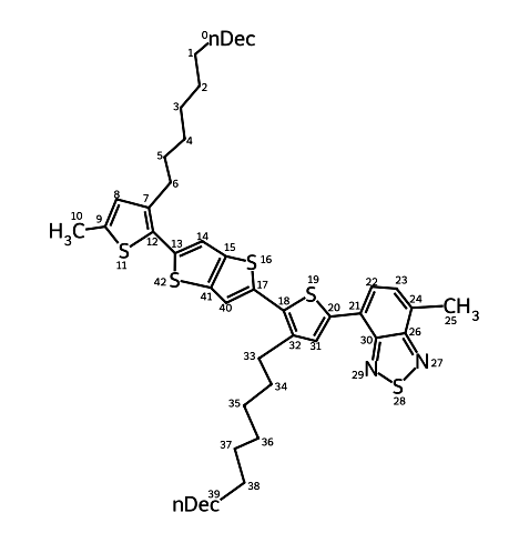 CCCCCCCCCCCCCCCCc1cc(C)sc1-c1cc2sc(-c3sc(-c4ccc(C)c5nsnc45)cc3CCCCCCCCCCCCCCCC)cc2s1